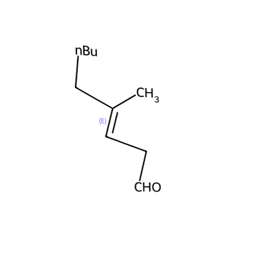 CCCCC/C(C)=C/CC=O